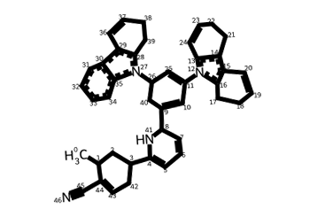 CC1CC(C2=CC=CC(C3=CC(n4c5c(c6c4CCC=C6)CCC=C5)=CC(n4c5c(c6ccccc64)C=CCC5)C3)N2)CC=C1C#N